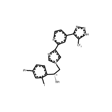 CCC[C@@H](Cn1cnc(-c2cc(-c3nn[nH]c3C(F)(F)F)ccn2)c1)c1ccc(C(C)C)cc1I